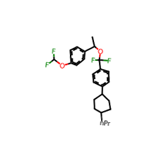 CCCC1CCC(c2ccc(C(F)(F)OC(C)c3ccc(OC(F)F)cc3)cc2)CC1